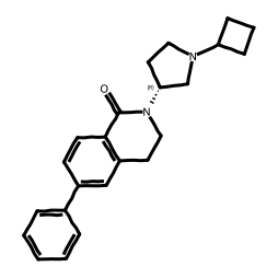 O=C1c2ccc(-c3ccccc3)cc2CCN1[C@@H]1CCN(C2CCC2)C1